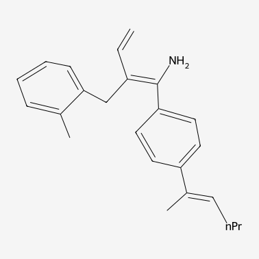 C=C/C(Cc1ccccc1C)=C(\N)c1ccc(/C(C)=C/CCC)cc1